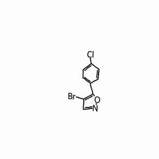 Clc1ccc(-c2oncc2Br)cc1